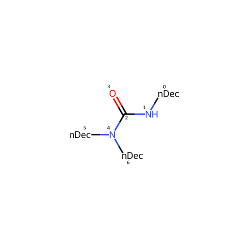 CCCCCCCCCCNC(=O)N(CCCCCCCCCC)CCCCCCCCCC